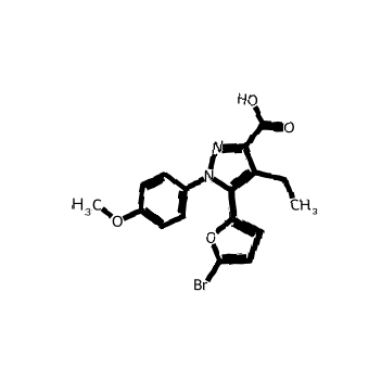 CCc1c(C(=O)O)nn(-c2ccc(OC)cc2)c1-c1ccc(Br)o1